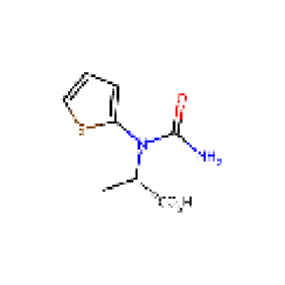 C[C@@H](C(=O)O)N(C(N)=O)c1cccs1